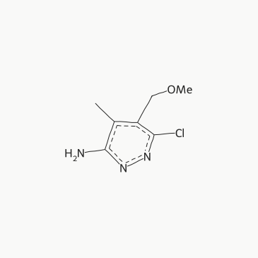 COCc1c(Cl)nnc(N)c1C